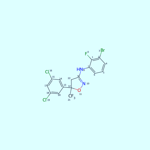 Fc1c(Br)cccc1NC1=NOC(c2cc(Cl)cc(Cl)c2)(C(F)(F)F)C1